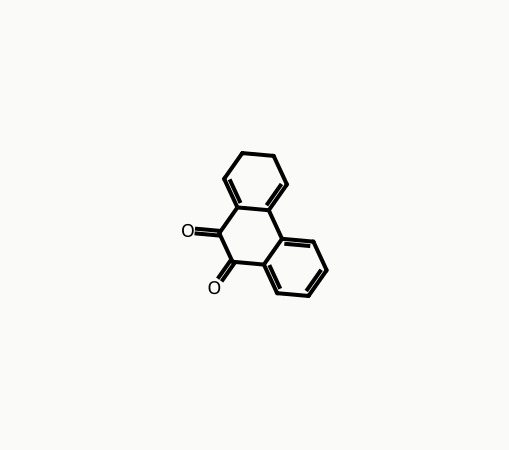 O=C1C(=O)c2ccccc2C2=CCCC=C12